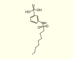 CCCCCCCCS(=O)(=O)Nc1cccc(P(=O)(O)O)c1